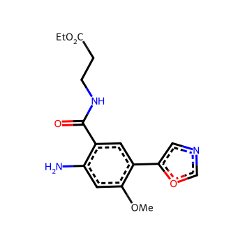 CCOC(=O)CCNC(=O)c1cc(-c2cnco2)c(OC)cc1N